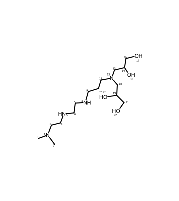 CN(C)CCNCCNCCCN(CC(O)CO)CC(O)CO